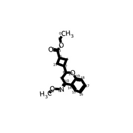 CCOC(=O)C1CC(C2CC(=NOC)c3ccccc3O2)C1